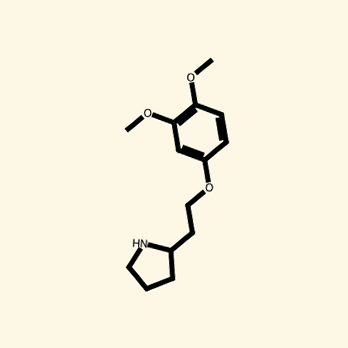 COc1ccc(OCCC2CCCN2)cc1OC